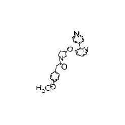 COc1ccc(CC(=O)N2CCC(Oc3cccnc3-c3ccncc3)C2)cc1